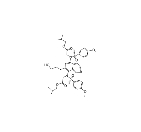 COc1ccc(S(=O)(=O)N(CC(=O)OCC(C)C)c2cc(CCCO)c(N(CC(=O)OCC(C)C)S(=O)(=O)c3ccc(OC)cc3)c3ccccc23)cc1